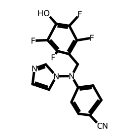 N#Cc1ccc(N(Cc2c(F)c(F)c(O)c(F)c2F)n2ccnc2)cc1